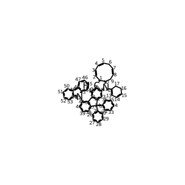 C=C1/C=C\C=C/C/C=C\CC1N(C1=CC=CCC1)c1ccc2c(c1)C(c1ccccc1)(c1ccccc1)c1cccc(-n3c4ccccc4c4ccccc43)c1-2